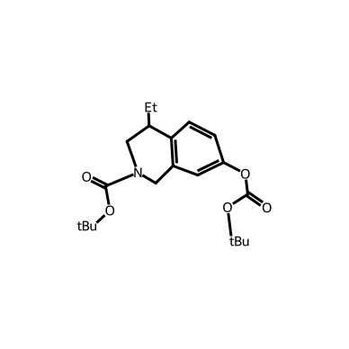 CCC1CN(C(=O)OC(C)(C)C)Cc2cc(OC(=O)OC(C)(C)C)ccc21